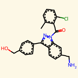 Cc1cccc(Cl)c1C(=O)n1nc(-c2ccc(CO)cc2)c2ccc(CN)cc21